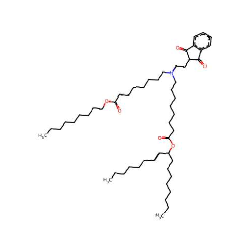 CCCCCCCCCOC(=O)CCCCCCCN(CCCCCCCC(=O)OC(CCCCCCCC)CCCCCCCC)CCC1C(=O)c2ccccc2C1=O